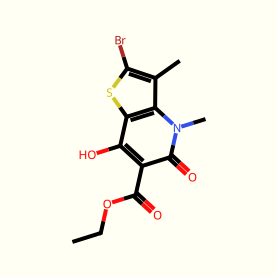 CCOC(=O)c1c(O)c2sc(Br)c(C)c2n(C)c1=O